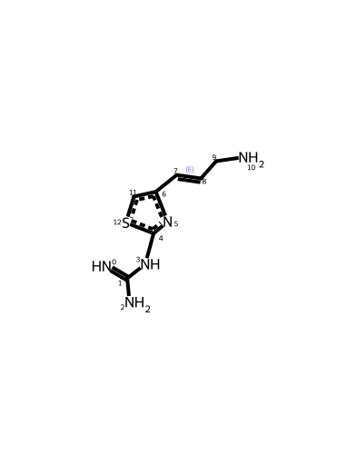 N=C(N)Nc1nc(/C=C/CN)cs1